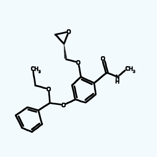 CCOC(Oc1ccc(C(=O)NC)c(OC[C@@H]2CO2)c1)c1ccccc1